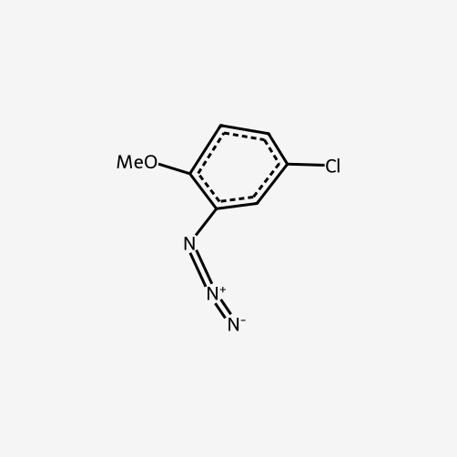 COc1ccc(Cl)cc1N=[N+]=[N-]